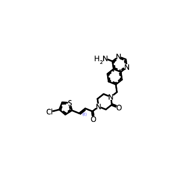 Nc1ncnc2cc(CN3CCN(C(=O)/C=C/c4cc(Cl)cs4)CC3=O)ccc12